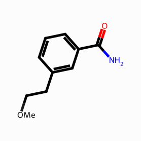 COCCc1cccc(C(N)=O)c1